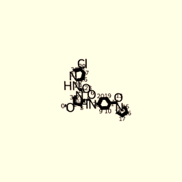 CO[C@@H]1C[C@H](C(=O)Nc2ccc(C(=O)N3CC=CC3)cc2)N(C(=O)Nc2ccc(Cl)cn2)C1